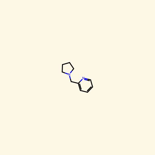 c1ccc(CN2CCCC2)nc1